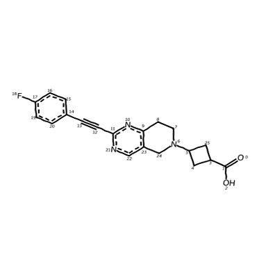 O=C(O)C1CC(N2CCc3nc(C#Cc4ccc(F)cc4)ncc3C2)C1